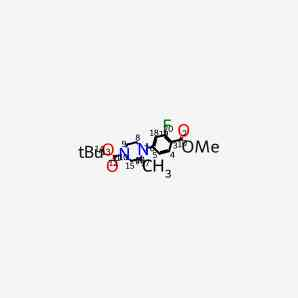 COC(=O)c1ccc(N2CCN(C(=O)OC(C)(C)C)C[C@H]2C)cc1F